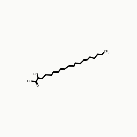 CCCCCC=CCCC=CC=CC=CCCCC(O)C(=O)O